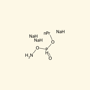 CCCO[PH](=O)ON.[NaH].[NaH].[NaH]